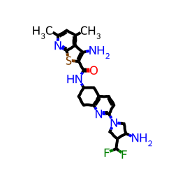 Cc1cc(C)c2c(N)c(C(=O)NC3CCc4nc(N5CC(N)C(C(F)F)C5)ccc4C3)sc2n1